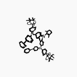 Cc1cccc(C)c1-n1c2ccc(N(c3ccc(B4OC(C)(C)C(C)(C)O4)cc3)c3ccc(-c4ccccc4)cc3)cc2c2cc(N(c3ccc(B4OC(C)(C)C(C)(C)O4)cc3)c3ccc(-c4ccccc4)cc3)ccc21